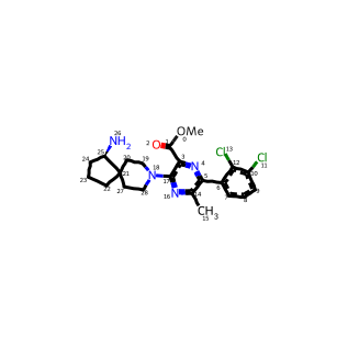 COC(=O)c1nc(-c2cccc(Cl)c2Cl)c(C)nc1N1CCC2(CCC[C@H]2N)CC1